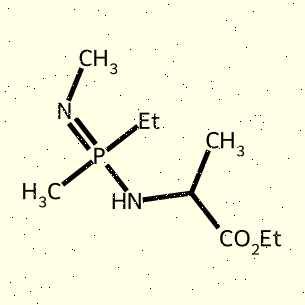 CCOC(=O)C(C)NP(C)(CC)=NC